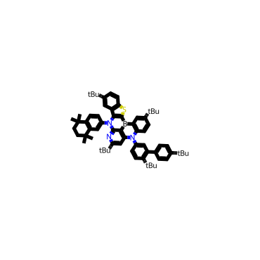 CC(C)(C)c1ccc(-c2cc(N3c4ccc(C(C)(C)C)cc4B4c5sc6ccc(C(C)(C)C)cc6c5N(c5ccc6c(c5)C(C)(C)CCC6(C)C)c5nc(C(C)(C)C)cc3c54)ccc2C(C)(C)C)cc1